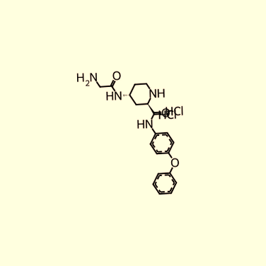 Cl.Cl.NCC(=O)N[C@@H]1CCN[C@@H](C(=O)Nc2ccc(Oc3ccccc3)cc2)C1